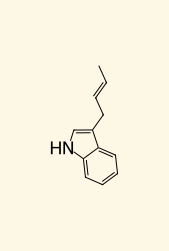 CC=CCc1c[nH]c2ccccc12